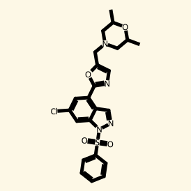 CC1CN(Cc2cnc(-c3cc(Cl)cc4c3cnn4S(=O)(=O)c3ccccc3)o2)CC(C)O1